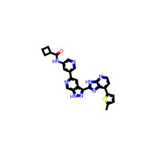 Cc1ccc(-c2ccnc3[nH]c(-c4n[nH]c5cnc(-c6cncc(NC(=O)C7CCC7)c6)cc45)nc23)s1